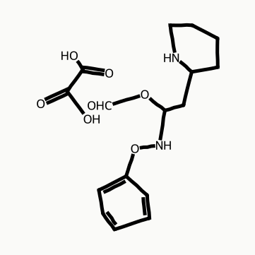 O=C(O)C(=O)O.O=COC(CC1CCCCN1)NOc1ccccc1